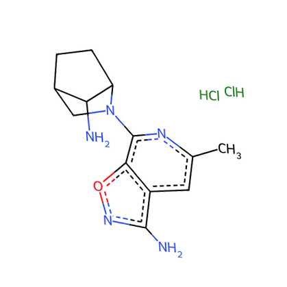 Cc1cc2c(N)noc2c(N2CC3CCC2C3N)n1.Cl.Cl